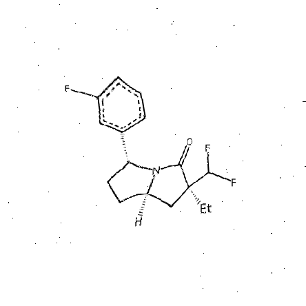 CC[C@]1(C(F)F)C[C@H]2CC[C@H](c3cccc(F)c3)N2C1=O